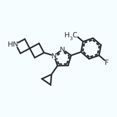 Cc1ccc(F)cc1-c1cc(C2CC2)n(C2CC3(CNC3)C2)n1